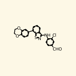 O=Cc1ccc(Nc2nsc3c(-c4ccc5c(c4)OCCO5)cccc23)c(Cl)c1